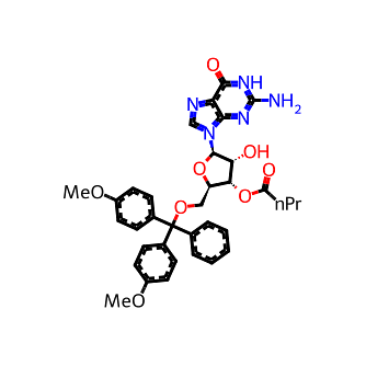 CCCC(=O)O[C@H]1[C@@H](O)[C@H](n2cnc3c(=O)[nH]c(N)nc32)O[C@@H]1COC(c1ccccc1)(c1ccc(OC)cc1)c1ccc(OC)cc1